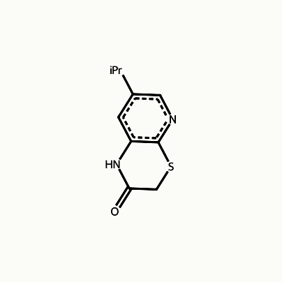 CC(C)c1cnc2c(c1)NC(=O)CS2